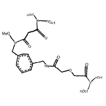 CCCCCCCCN(CCCCCCCC)C(=O)COCC(=O)NCc1cccc(CN(OC)C(=O)CC(=O)N(CCCCCCCC)CCCCCCCC)c1